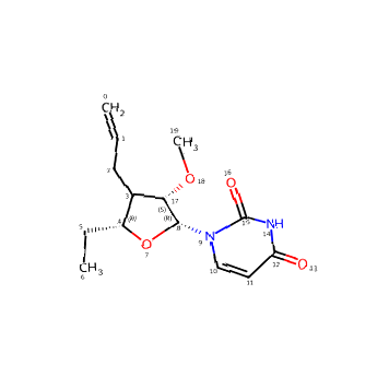 C=CCC1[C@@H](CC)O[C@@H](n2ccc(=O)[nH]c2=O)[C@H]1OC